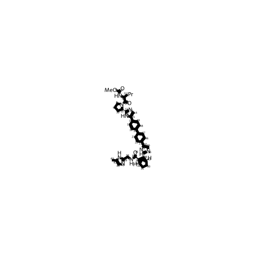 COC(=O)NC(C(=O)N1CCC[C@H]1c1ncc(-c2ccc(-c3ccc(-c4cnc([C@@H]5[C@H]6CC[C@H](C6)[C@H]5C(=O)NCc5ncc(C)[nH]5)[nH]4)cc3)cc2)[nH]1)C(C)C